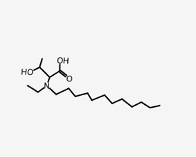 CCCCCCCCCCCCN(CC)C(C(=O)O)C(C)O